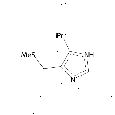 CSCc1nc[nH]c1C(C)C